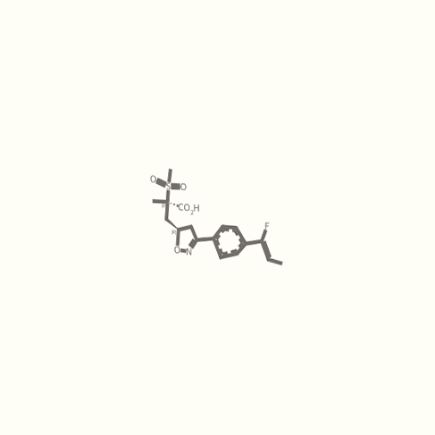 CC=C(F)c1ccc(C2=NO[C@@H](C[C@](C)(C(=O)O)S(C)(=O)=O)C2)cc1